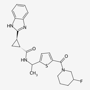 CC(NC(=O)[C@@H]1C[C@H]1c1nc2ccccc2[nH]1)c1ccc(C(=O)N2CCCC(F)C2)s1